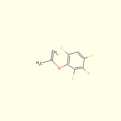 C=C(C)Oc1c(F)cc(F)c(F)c1F